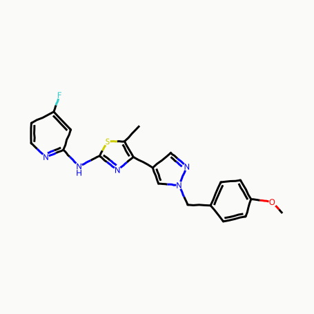 COc1ccc(Cn2cc(-c3nc(Nc4cc(F)ccn4)sc3C)cn2)cc1